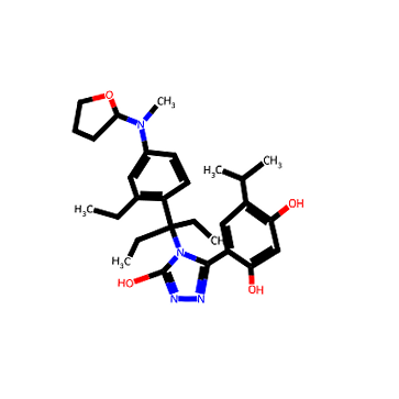 CCc1cc(N(C)C2CCCO2)ccc1C(CC)(CC)n1c(O)nnc1-c1cc(C(C)C)c(O)cc1O